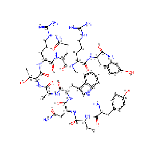 CC(C)C[C@H](NC(=O)[C@@H](N)Cc1ccc(O)cc1)C(=O)N[C@@H](CC(N)=O)C(=O)N[C@@H](Cc1c[nH]c2ccccc12)C(=O)N[C@H](C(=O)N[C@H](C(=O)N[C@@H](CCCNC(=N)N)C(=O)N[C@@H](CCC(N)=O)C(=O)N(C)[C@@H](CCCNC(=N)N)C(=O)N[C@@H](Cc1ccc(O)cc1)C(N)=O)[C@@H](C)O)C(C)C